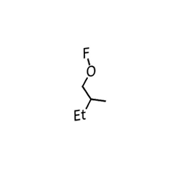 CCC(C)COF